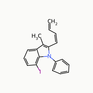 C=C/C=C\c1c(C)c2cccc(I)c2n1-c1ccccc1